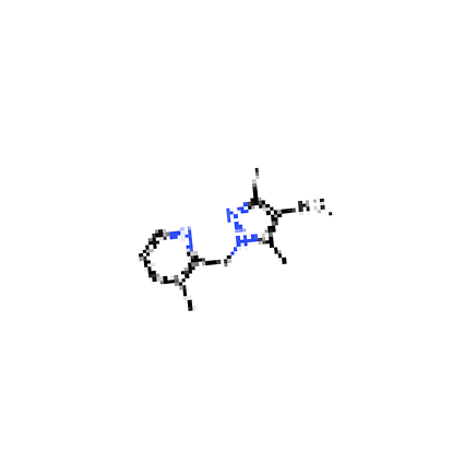 Cc1cccnc1Cn1nc(C)c([N+](=O)[O-])c1C